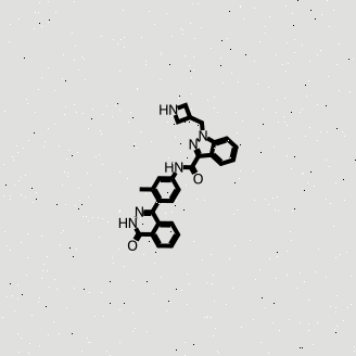 Cc1cc(NC(=O)c2nn(CC3CNC3)c3ccccc23)ccc1-c1n[nH]c(=O)c2ccccc12